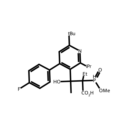 CCC(C(=O)O)([PH](=O)OC)C(C)(O)c1c(-c2ccc(F)cc2)cc(C(C)(C)C)nc1C(C)C